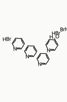 Br.Br.Br.O.c1ccncc1.c1ccncc1.c1ccncc1.c1ccncc1